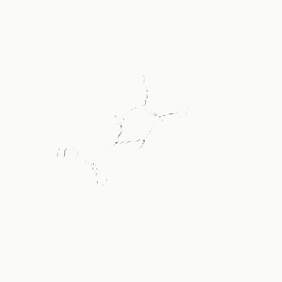 O=C(O)C1CC(Cl)=C(Cl)S1